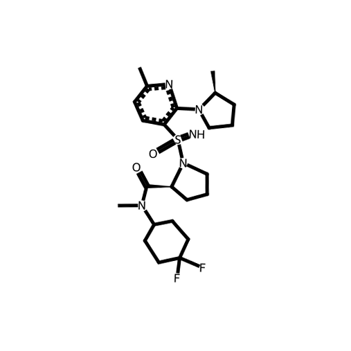 Cc1ccc(S(=N)(=O)N2CCC[C@H]2C(=O)N(C)C2CCC(F)(F)CC2)c(N2CCC[C@@H]2C)n1